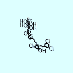 CC[C@H](O)[C@H](O)[C@@H](O)[C@@H](O)COC(=O)c1ccc(CCC[C@@H]2[C@@H](CCc3cc(Cl)cc(Cl)c3)[C@H](O)C[C@H]2Cl)s1